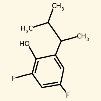 CC(C)C(C)c1cc(F)cc(F)c1O